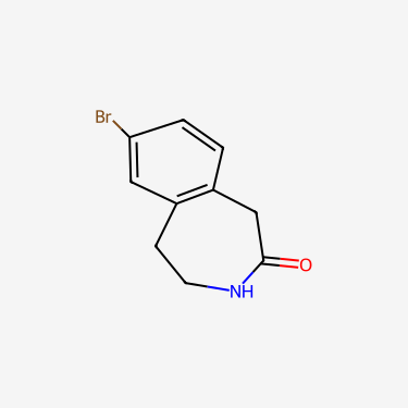 O=C1Cc2ccc(Br)cc2CCN1